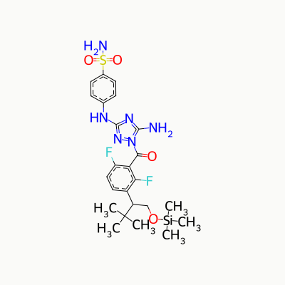 CC(C)(C)C(CO[Si](C)(C)C)c1ccc(F)c(C(=O)n2nc(Nc3ccc(S(N)(=O)=O)cc3)nc2N)c1F